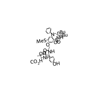 CCCCC1(CCCC)CN(c2ccccc2)c2cc(SC)c(OCC(=O)NC(C(=O)N[C@@H](C(=O)O)[C@@H](C)O)c3ccc(O)cc3)cc2S(=O)(=O)N1